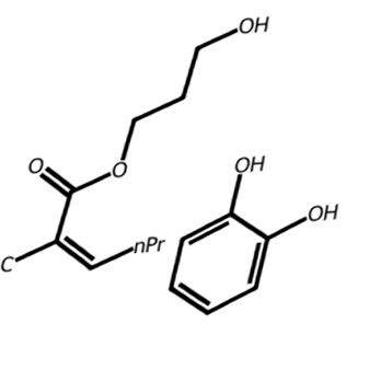 CCCC=C(C)C(=O)OCCCO.Oc1ccccc1O